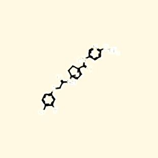 O=C(COc1ccc(Cl)c(F)c1)NC12CCC(C(=O)Nc3ccc(OC(F)(F)F)nc3)(CC1)O2